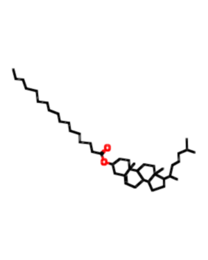 CCCCCCCCCCCCCCCCC(=O)OC1CCC2(C)C(=CCC3C2CCC2(C)C(C(C)CCCC(C)C)CCC32)C1